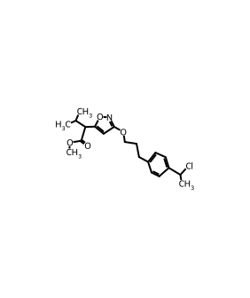 COC(=O)C(c1cc(OCCCc2ccc(C(C)Cl)cc2)no1)C(C)C